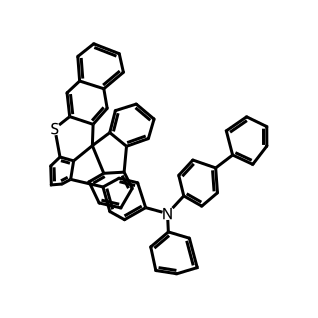 c1ccc(-c2ccc(N(c3ccccc3)c3ccc(-c4cccc5c4C4(c6cc7ccccc7cc6S5)c5ccccc5-c5ccccc54)cc3)cc2)cc1